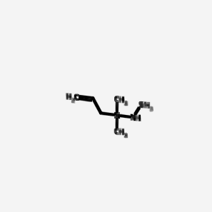 C=CC[Si](C)(C)N[SiH3]